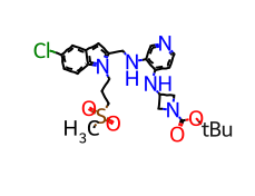 CC(C)(C)OC(=O)N1CC(Nc2ccncc2NCc2cc3cc(Cl)ccc3n2CCCS(C)(=O)=O)C1